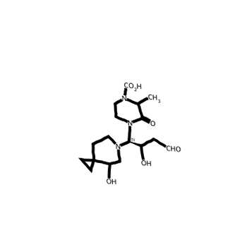 CC1C(=O)N([C@@H](C(O)CC=O)N2CCC3(CC3)C(O)C2)CCN1C(=O)O